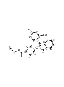 Cc1ccc(-n2c(-c3ccc(NCCO)nc3)nc3ccncc32)c(F)c1